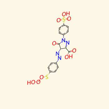 O=C(O)C1=NN(c2ccc(S(=O)(=O)O)cc2)C(=O)C1/N=N/c1ccc(SOOO)cc1